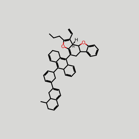 C=CC1=C(CCC)OC2=C(C3=C4CCC=CC4=C(C4C=CC=C(C5=CC=C6C=CCC(C)C6C5)C4)C4C=CC=CC34)CC3c4ccccc4OC3[C@@H]12